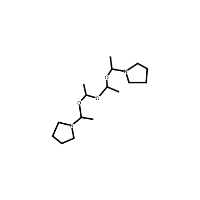 CC(OC(C)OC(C)N1CCCC1)OC(C)N1CCCC1